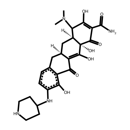 CN(C)C1C(O)=C(C(N)=O)C(=O)[C@@]2(O)C(O)=C3C(=O)c4c(ccc(NC5CCNCC5)c4O)C[C@H]3C[C@@H]12